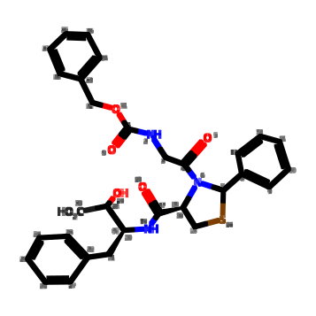 O=C(NCC(=O)N1C(c2ccccc2)SC[C@H]1C(=O)N[C@@H](Cc1ccccc1)C(O)C(=O)O)OCc1ccccc1